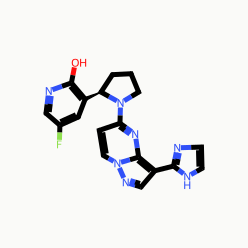 Oc1ncc(F)cc1[C@H]1CCCN1c1ccn2ncc(-c3ncc[nH]3)c2n1